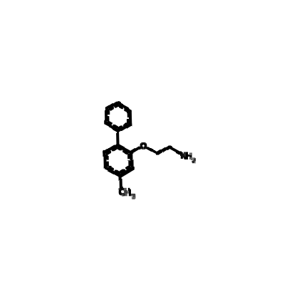 Cc1ccc(-c2ccccc2)c(OCCN)c1